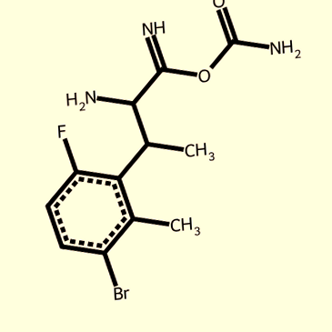 Cc1c(Br)ccc(F)c1C(C)C(N)C(=N)OC(N)=O